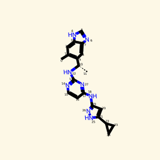 Cc1cc2[nH]cnc2cc1[C@H](C)Nc1nccc(Nc2cc(C3CC3)[nH]n2)n1